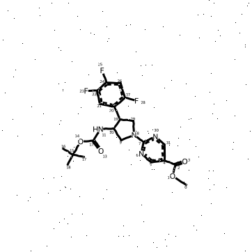 COC(=O)c1cnc(N2CC(NC(=O)OC(C)(C)C)C(c3cc(F)c(F)cc3F)C2)nc1